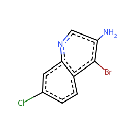 Nc1cnc2cc(Cl)ccc2c1Br